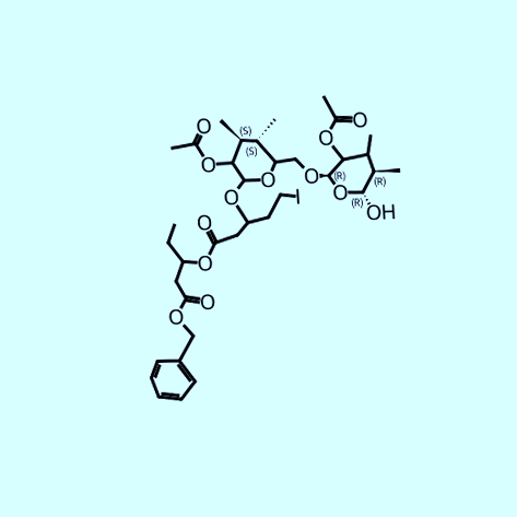 CCC(CC(=O)OCc1ccccc1)OC(=O)CC(CCI)OC1OC(CO[C@@H]2O[C@@H](O)[C@H](C)C(C)C2OC(C)=O)[C@@H](C)[C@H](C)C1OC(C)=O